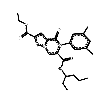 CCCC(CC)NC(=O)c1cn2nc(C(=O)OCC)cc2c(=O)n1-c1cc(C)cc(C)c1